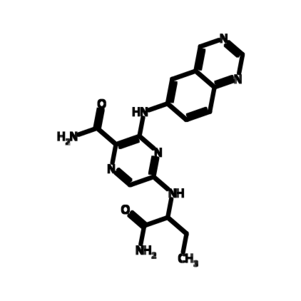 CCC(Nc1cnc(C(N)=O)c(Nc2ccc3ncncc3c2)n1)C(N)=O